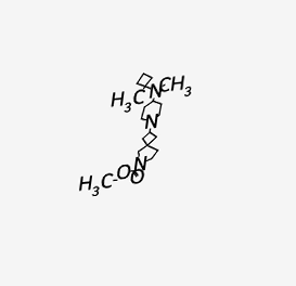 CCOC(=O)N1CCC2(CC(N3CCC(N(C)C4(C)CCC4)CC3)C2)C1